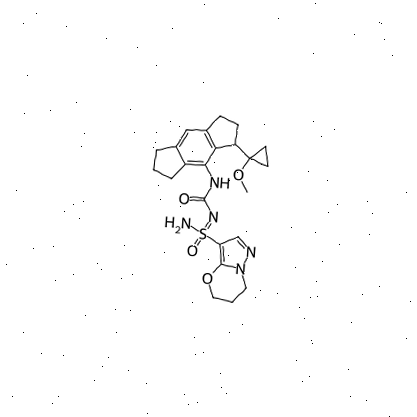 COC1(C2CCc3cc4c(c(NC(=O)N=S(N)(=O)c5cnn6c5OCCC6)c32)CCC4)CC1